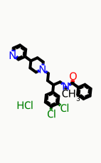 CN(CC(CCN1CCC(c2cccnc2)CC1)c1ccc(Cl)c(Cl)c1)C(=O)c1ccccc1.Cl